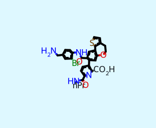 CCCNC(=O)c1ccc(-c2cc3c(cc2C(=O)Nc2ccc(CN)cc2Br)-c2sccc2CCO3)c(C(=O)O)n1